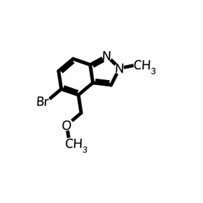 COCc1c(Br)ccc2nn(C)cc12